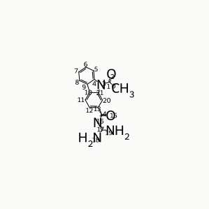 CC(=O)n1c2ccccc2c2ccc(C(=O)N=C(N)N)cc21